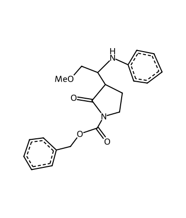 COCC(Nc1ccccc1)C1CCN(C(=O)OCc2ccccc2)C1=O